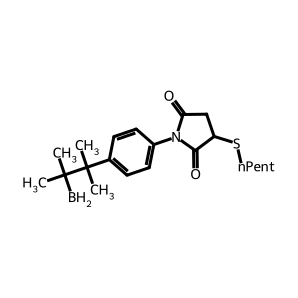 BC(C)(C)C(C)(C)c1ccc(N2C(=O)CC(SCCCCC)C2=O)cc1